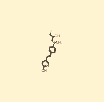 CN(CC(O)CF)c1ccc(/C=C/c2ccc(O)nc2)cc1